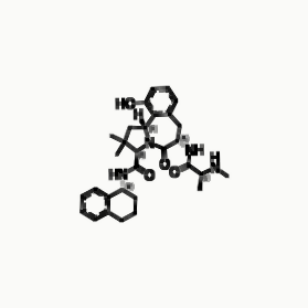 CN[C@@H](C)C(=O)N[C@H]1Cc2cccc(O)c2[C@H]2CC(C)(C)[C@H](C(=O)N[C@@H]3CCCc4ccccc43)N2C1=O